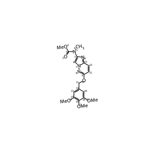 COC(=O)N(C)c1cn2nc(OCc3cc(OC)c(OC)c(OC)c3)ccc2n1